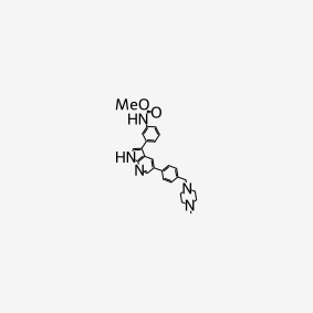 COC(=O)Nc1cccc(-c2c[nH]c3ncc(-c4ccc(CN5CCN(C)CC5)cc4)cc23)c1